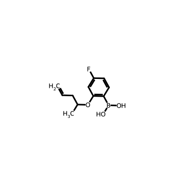 C=CCC(C)Oc1cc(F)ccc1B(O)O